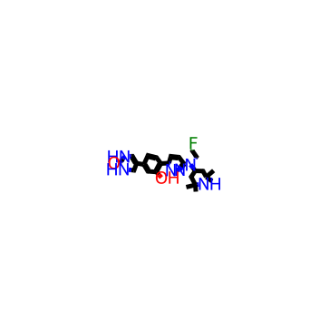 CC1(C)CC(N(CCF)c2ccc(-c3ccc(C4=CNC(=O)NC4)cc3O)nn2)CC(C)(C)N1